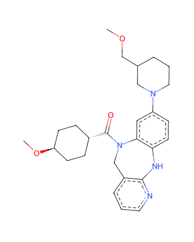 COCC1CCCN(c2ccc3c(c2)N(C(=O)[C@H]2CC[C@H](OC)CC2)Cc2cccnc2N3)C1